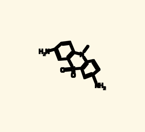 CN1c2ccc(N)cc2S(=O)(=O)c2cc(N)ccc21